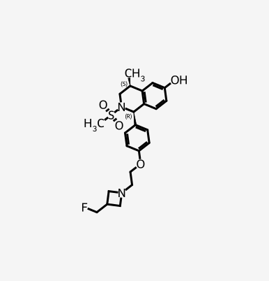 C[C@@H]1CN(S(C)(=O)=O)[C@H](c2ccc(OCCN3CC(CF)C3)cc2)c2ccc(O)cc21